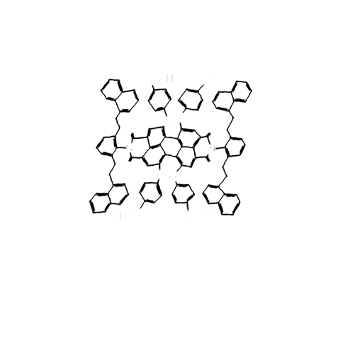 O=C1c2cc(Oc3ccc(S(=O)(=O)O)cc3)c3c4c(Oc5ccc(S(=O)(=O)O)cc5)cc5c6c(cc(Oc7ccc(S(=O)(=O)O)cc7)c(c7c(Oc8ccc(S(=O)(=O)O)cc8)cc(c2c37)C(=O)N1c1c(CCc2cccc3ccccc23)cccc1CCc1cccc2ccccc12)c64)C(=O)N(c1c(CCc2cccc3ccccc23)cccc1CCc1cccc2ccccc12)C5=O